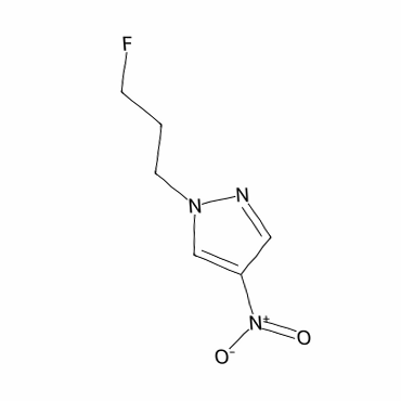 O=[N+]([O-])c1cnn(CCCF)c1